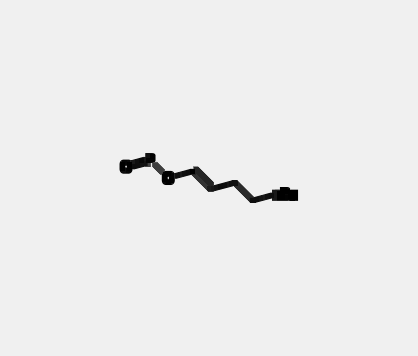 CCCCCCC=COP=O